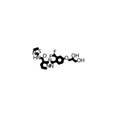 O=C(Nc1nccs1)c1cccn2nc(-c3ccc(OCC(O)CO)cc3C(F)F)nc12